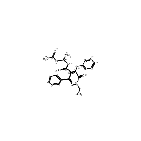 CCn1nc(-c2ccccc2)c(C(=O)OC(C)OC(C)=O)c(Nc2cccnc2)c1=O